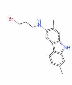 Cc1ccc2c(c1)[nH]c1cc(C)c(NCCCBr)cc12